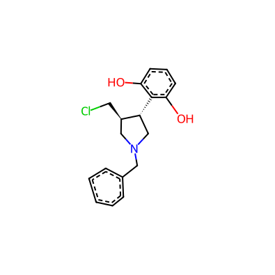 Oc1cccc(O)c1[C@@H]1CN(Cc2ccccc2)C[C@H]1CCl